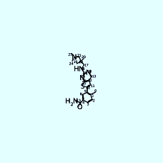 Cc1ccc(C(N)=O)cc1-c1cc2cnc(NCC(C)(C)CN(C)C)nc2s1